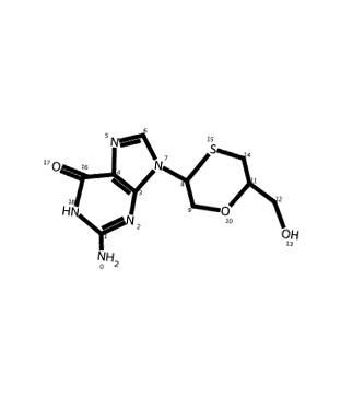 Nc1nc2c(ncn2C2COC(CO)CS2)c(=O)[nH]1